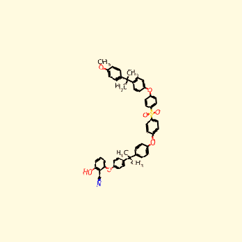 COc1ccc(C(C)(C)c2ccc(Oc3ccc(S(=O)(=O)c4ccc(Oc5ccc(C(C)(C)c6ccc(Oc7cccc(O)c7C#N)cc6)cc5)cc4)cc3)cc2)cc1